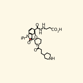 CC(C)N1C(=O)COc2c(C(=O)NNCCC(=O)O)ccc1c2C(=O)[C@@H]1CCCN(C(=O)CCC2CCNCC2)C1